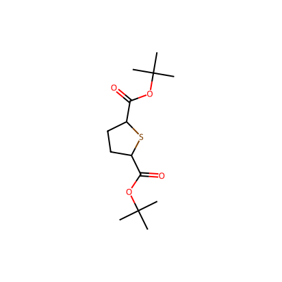 CC(C)(C)OC(=O)C1CCC(C(=O)OC(C)(C)C)S1